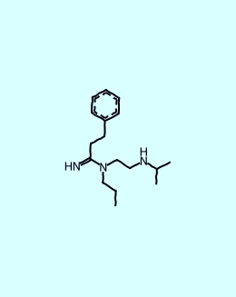 CCCN(CCNC(C)C)C(=N)CCc1ccccc1